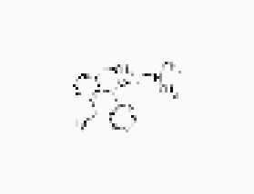 CCc1cccc(CC)c1C(OCCN(C)C)c1ccccn1